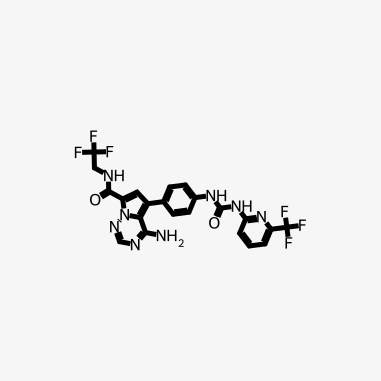 Nc1ncnn2c(C(=O)NCC(F)(F)F)cc(-c3ccc(NC(=O)Nc4cccc(C(F)(F)F)n4)cc3)c12